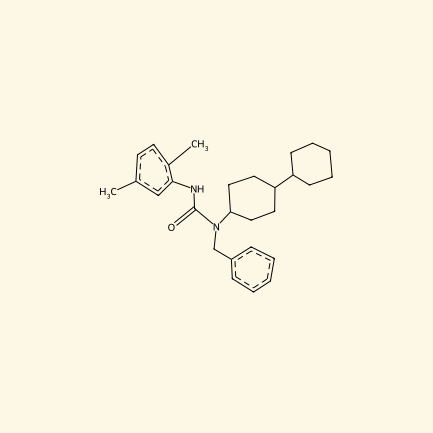 Cc1ccc(C)c(NC(=O)N(Cc2ccccc2)C2CCC(C3CCCCC3)CC2)c1